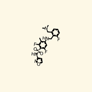 Cc1c(NCc2c(F)cccc2CN(C)C)cc(F)c(S(=O)(=O)Nc2ccon2)c1F